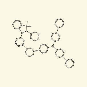 CC1(C)c2ccccc2N(c2cccc(-c3cccc(-c4ccc(N(c5ccc(-c6ccccc6)cc5)c5ccc(-c6ccccc6)cc5)cc4)c3)c2)C1c1ccccc1